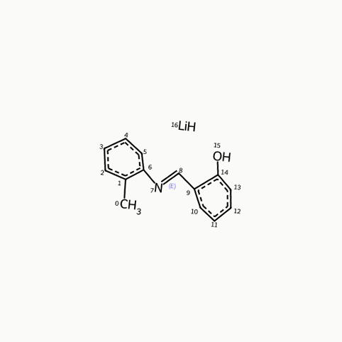 Cc1ccccc1/N=C/c1ccccc1O.[LiH]